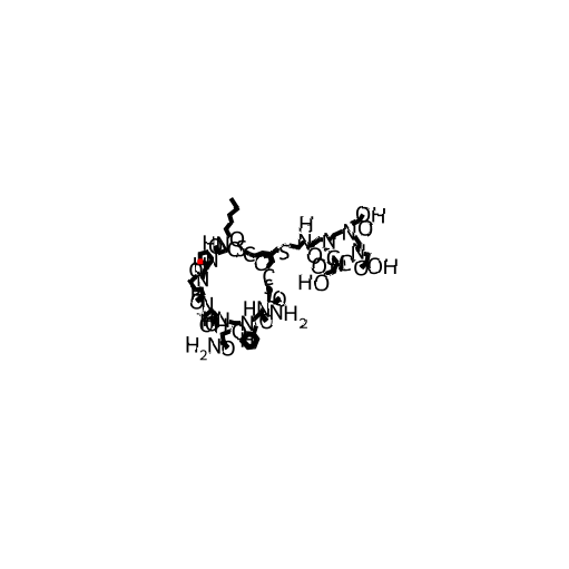 CCCCCC(=O)N[C@H]1CSCc2cc(CSCCNC(=O)CN3CCN(CC(=O)O)CCN(CC(=O)O)CCN(CC(=O)O)CC3)cc(c2)CSC[C@@H](C(N)=O)NC(=O)[C@H](Cc2ccccc2)NC(=O)[C@H](CCC(N)=O)NC(=O)[C@H]([C@@H](C)O)NC(=O)[C@@H]2CCCN2C(=O)[C@@H]2CCCN2C1=O